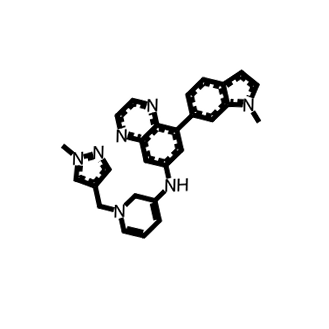 Cn1cc(CN2C=CC=C(Nc3cc(-c4ccc5ccn(C)c5c4)c4nccnc4c3)C2)cn1